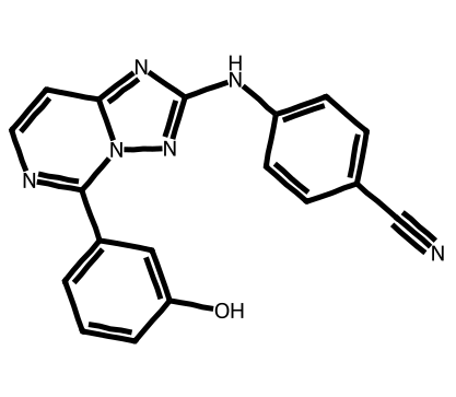 N#Cc1ccc(Nc2nc3ccnc(-c4cccc(O)c4)n3n2)cc1